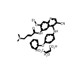 CCOc1cc2ncc(C#N)c(Nc3ccc(Oc4ccccc4)cc3)c2cc1NC(=O)/C=C/CN(C)C.O.O=C(O)/C=C\C(=O)O